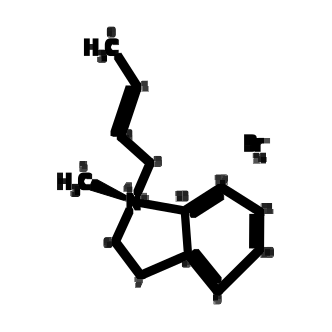 CC=CC[N@@+]1(C)CCc2ccccc21.[Br-]